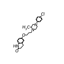 CC1CN(c2ccc(Cl)cc2)CCN1CCCOc1ccc2c(c1)CCC(=O)N2